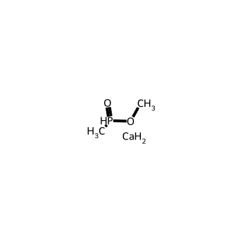 CO[PH](C)=O.[CaH2]